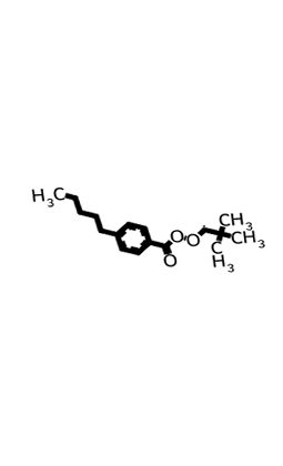 CCCCCc1ccc(C(=O)OO[CH]C(C)(C)C)cc1